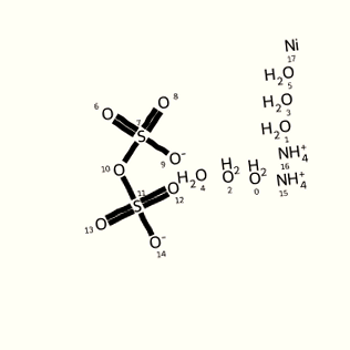 O.O.O.O.O.O.O=S(=O)([O-])OS(=O)(=O)[O-].[NH4+].[NH4+].[Ni]